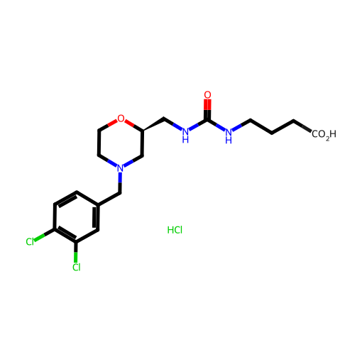 Cl.O=C(O)CCCNC(=O)NC[C@H]1CN(Cc2ccc(Cl)c(Cl)c2)CCO1